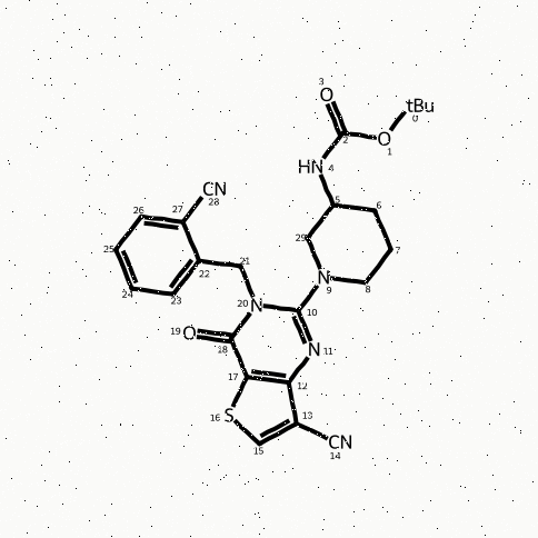 CC(C)(C)OC(=O)NC1CCCN(c2nc3c(C#N)csc3c(=O)n2Cc2ccccc2C#N)C1